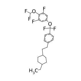 CCC1CCC(CCc2ccc(C(F)(F)Oc3cc(F)c(OC(F)F)c(F)c3)cc2)CC1